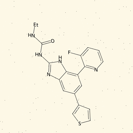 CCNC(=O)Nc1nc2cc(-c3ccsc3)cc(-c3ncccc3F)c2[nH]1